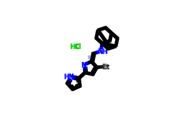 CCC1=CC(c2ccc[nH]2)=N/C1=C/NC12CC3CC(CC(C3)C1)C2.Cl